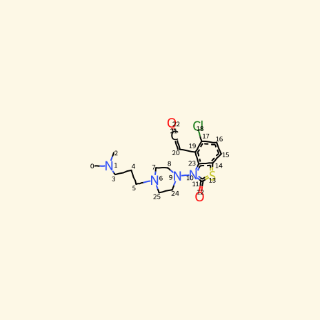 CN(C)CCCN1CCN(n2c(=O)sc3ccc(Cl)c(C=C=O)c32)CC1